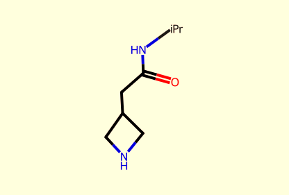 CC(C)NC(=O)CC1CNC1